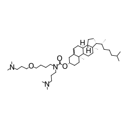 CC(C)CCC[C@@H](C)[C@H]1CC[C@H]2[C@@H]3CC=C4C[C@@H](OC(=O)N(CCCCOCCCN(C)C)CCCN(C)C)CC[C@]4(C)C3CC[C@]12C